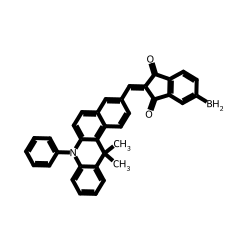 Bc1ccc2c(c1)C(=O)/C(=C\c1ccc3c4c(ccc3c1)N(c1ccccc1)c1ccccc1C4(C)C)C2=O